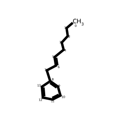 CCCCCC=CCc1cc[c]cc1